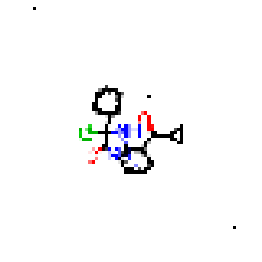 NC(=O)C(Cl)(Nc1ccccc1C(=O)C1CC1)c1ccccc1